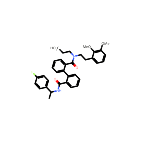 COc1cccc(CCN(CCC(=O)O)C(=O)c2ccccc2-c2ccccc2C(=O)NC(C)c2ccc(F)cc2)c1OC